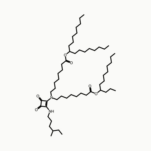 CCCCCCCCC(CCC)OC(=O)CCCCCCCN(CCCCCCCC(=O)OC(CCCCCCCC)CCCCCCCC)c1c(NCCCC(C)CC)c(=O)c1=O